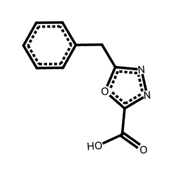 O=C(O)c1nnc(Cc2ccccc2)o1